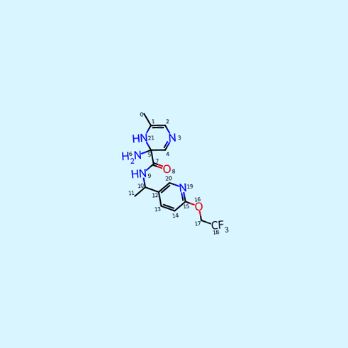 CC1=CN=CC(N)(C(=O)NC(C)c2ccc(OCC(F)(F)F)nc2)N1